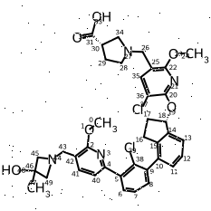 COc1nc(-c2cccc(-c3cccc4c3CC[C@@H]4Oc3nc(OC)c(CN4CC[C@H](C(=O)O)C4)cc3Cl)c2Cl)ccc1CN1CC(C)(O)C1